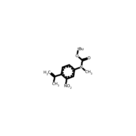 C=C(C)c1ccc(N(C)C(=O)OC(C)(C)C)cc1[N+](=O)[O-]